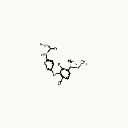 CC[C@@H](N)c1ccc(Cl)c(Oc2ccc(NC(C)=O)nc2)c1F